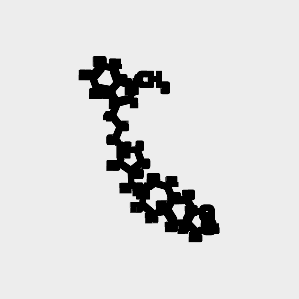 Cn1cc(CCCN2CCC(CN3CCc4cc5c(cc4CC3)OOC5)C2)c2ccccc21